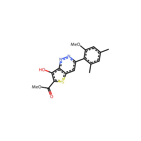 COC(=O)c1sc2cc(-c3c(C)cc(C)cc3OC)nnc2c1O